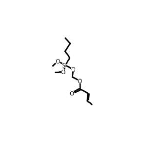 CC=CC(=O)OCO[Si](CCCC)(OC)OC